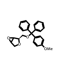 COc1ccc(C(OC[C@H]2OCC3OC32)(c2ccccc2)c2ccccc2)cc1